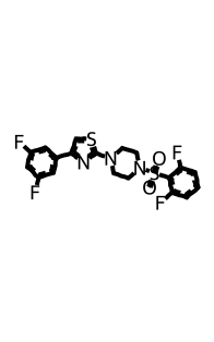 O=S(=O)(c1c(F)cccc1F)N1CCN(c2nc(-c3cc(F)cc(F)c3)cs2)CC1